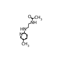 CC(=O)NCCNc1ccc(C)cn1